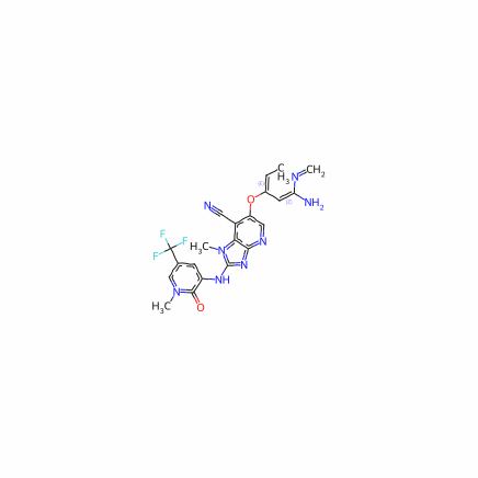 C=N/C(N)=C\C(=C/C)Oc1cnc2nc(Nc3cc(C(F)(F)F)cn(C)c3=O)n(C)c2c1C#N